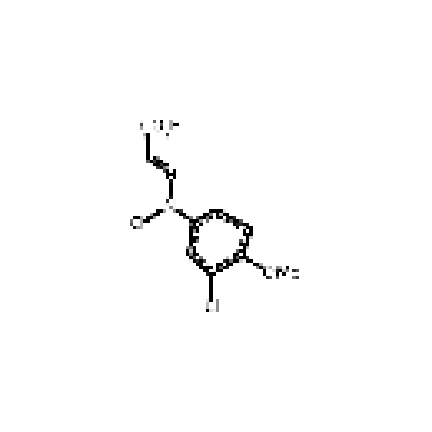 CCOC(=O)C=NN(Cl)c1ccc(OC)c(Cl)c1